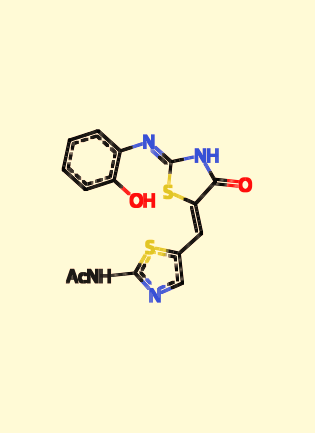 CC(=O)Nc1ncc(C=C2SC(=Nc3ccccc3O)NC2=O)s1